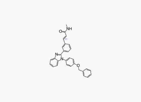 CNC(=O)/C=C/c1cccc(-c2nc3ccccc3n2-c2ccc(OCc3ccccc3)cc2)c1